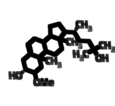 COC1CC2(C)C(=CCC3C2CCC2(C)C3CCC2[C@H](C)CCC(C)(C)O)C[C@H]1O